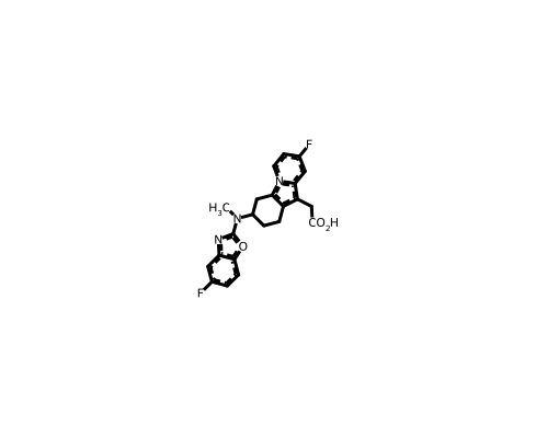 CN(c1nc2cc(F)ccc2o1)C1CCc2c(CC(=O)O)c3cc(F)ccn3c2C1